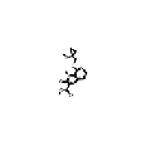 COC(=O)c1cc2ccnc(OCC3(SC)CC3)c2n(C)c1=O